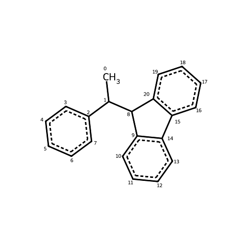 CC(c1ccccc1)C1c2ccccc2-c2ccccc21